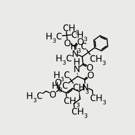 CCC[C@@H](/C=C(\C)C(=O)OCC)N(CC)C(=O)[C@@H](NC(=O)C(N(C)C(=O)OC(C)(C)C)C(C)(C)c1ccccc1)C(C)(C)C